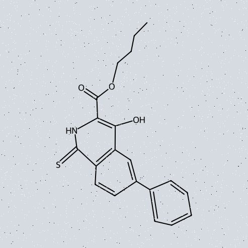 CCCCOC(=O)c1[nH]c(=S)c2ccc(-c3ccccc3)cc2c1O